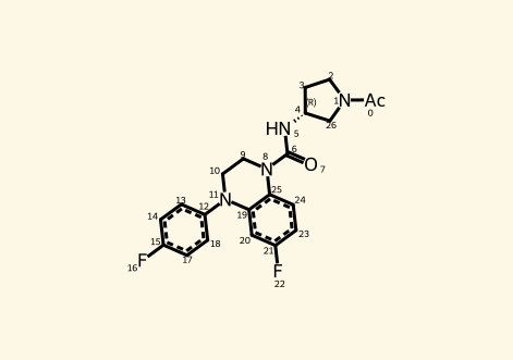 CC(=O)N1CC[C@@H](NC(=O)N2CCN(c3ccc(F)cc3)c3cc(F)ccc32)C1